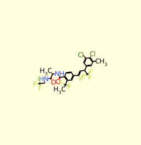 Cc1cc(C(/C=C(\F)c2ccc(C(=O)NC(C)C(=O)NCC(F)(F)F)c(C(C)(F)F)c2)C(F)(F)F)cc(Cl)c1Cl